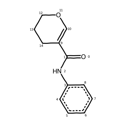 O=C(Nc1ccccc1)C1=COCCC1